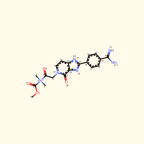 COC(=O)[N+](C)(C)C(=O)Cn1ccc2[nH]c(-c3ccc(C(=N)N)cc3)nc2c1=O